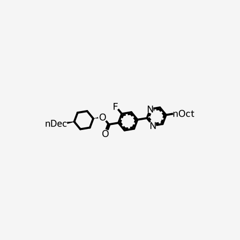 CCCCCCCCCC[C@H]1CC[C@H](OC(=O)c2ccc(-c3ncc(CCCCCCCC)cn3)cc2F)CC1